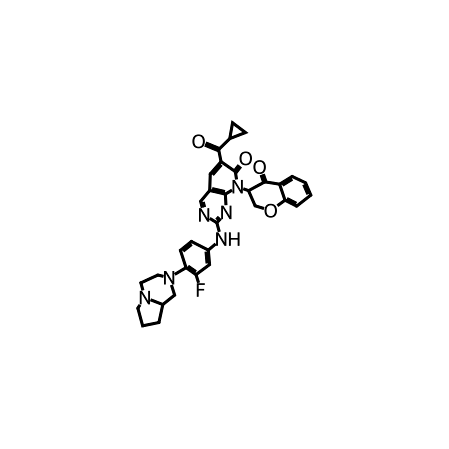 O=C(c1cc2cnc(Nc3ccc(N4CCN5CCCC5C4)c(F)c3)nc2n(C2COc3ccccc3C2=O)c1=O)C1CC1